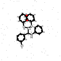 Clc1cccc(C(Nc2ccccc2)P(Oc2ccccc2)Oc2ccccc2)c1